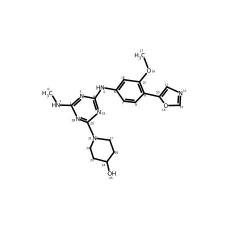 CNc1nc(Nc2ccc(-c3cnco3)c(OC)c2)nc(N2CCC(O)CC2)n1